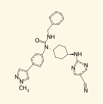 Cn1cc(-c2ccc(N(C(=O)NCc3ccccc3)[C@H]3CC[C@H](Nc4ncc(C#N)cn4)CC3)cc2)cn1